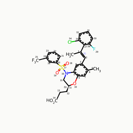 C/C(=C\c1cc2c(cc1C)O[C@@H](CCC(=O)O)CN2S(=O)(=O)c1cccc(C(F)(F)F)c1)c1c(F)cccc1Cl